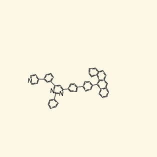 c1ccc(-c2nc(-c3ccc(-c4ccc(-c5c6ccccc6cc6ccc7ccccc7c56)cc4)cc3)cc(-c3cccc(-c4ccncc4)c3)n2)cc1